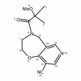 COC(C)(C)C(=O)N1CCOc2c(C#N)cncc2C1